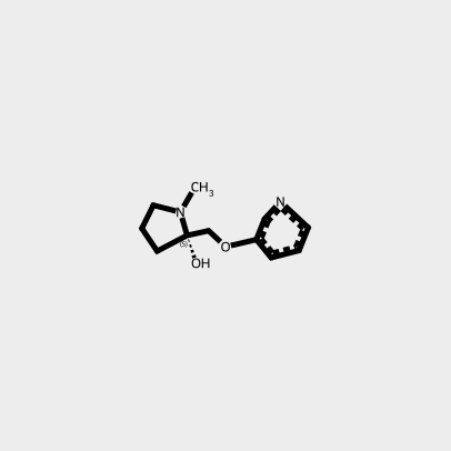 CN1CCC[C@]1(O)COc1cccnc1